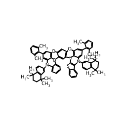 Cc1cccc(C)c1-c1cc2c3c(c1)N(c1ccc4c(c1)C(C)(C)CCC4(C)C)c1ccccc1B3c1cc3c(cc1O2)Oc1cc(-c2c(C)cccc2C)cc2c1B3c1sc3ccccc3c1N2c1ccc2c(c1)C(C)(C)CCC2(C)C